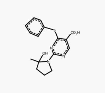 CC1(O)CCCN1c1ncc(C(=O)O)c(Sc2ccccc2)n1